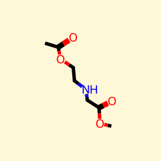 COC(=O)CNCCOC(C)=O